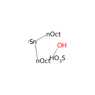 CCCCCCC[CH2][Sn][CH2]CCCCCCC.O=S(=O)(O)O